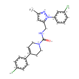 O=C(NCc1cc(C(F)(F)F)nn1-c1cccc(Cl)c1)N1CC=C(c2ccc(F)cc2)CC1